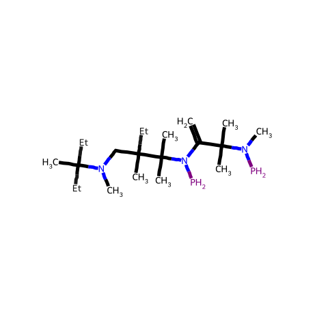 C=C(N(P)C(C)(C)C(C)(CC)CN(C)C(C)(CC)CC)C(C)(C)N(C)P